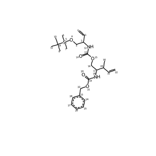 C=CC(CO[Si](C)(C)C(C)(C)C)NC(=O)OCC(NC(=O)OCc1ccccc1)C(C)C=C